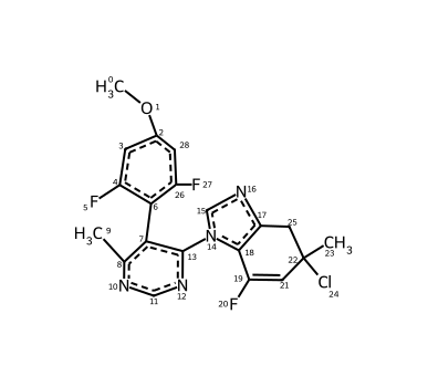 COc1cc(F)c(-c2c(C)ncnc2-n2cnc3c2C(F)=CC(C)(Cl)C3)c(F)c1